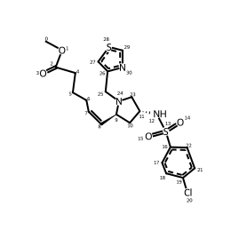 COC(=O)CCC/C=C\[C@@H]1C[C@@H](NS(=O)(=O)c2ccc(Cl)cc2)CN1Cc1cscn1